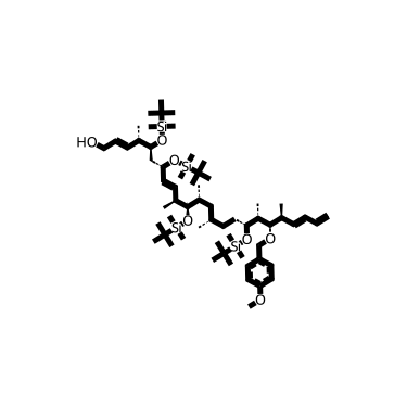 C=CC=C[C@H](C)[C@H](OCc1ccc(OC)cc1)[C@@H](C)[C@@H](CC[C@H](C)C[C@@H](C)[C@@H](O[Si](C)(C)C(C)(C)C)[C@@H](C)C=C[C@H](C[C@H](O[Si](C)(C)C(C)(C)C)[C@@H](C)C=CCO)O[Si](C)(C)C(C)(C)C)O[Si](C)(C)C(C)(C)C